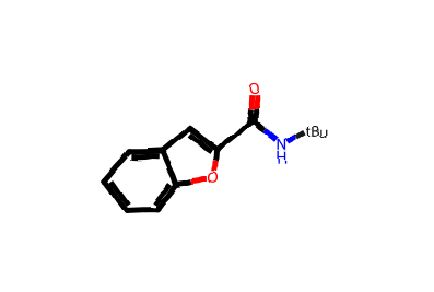 CC(C)(C)NC(=O)c1cc2ccccc2o1